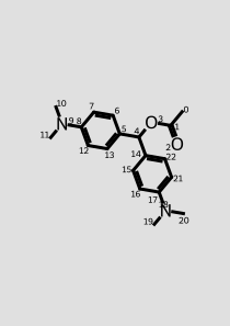 CC(=O)OC(c1ccc(N(C)C)cc1)c1ccc(N(C)C)cc1